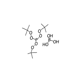 CC(C)(C)OOP(OOC(C)(C)C)OOC(C)(C)C.OB(O)O